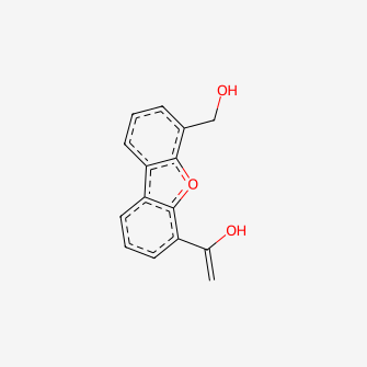 C=C(O)c1cccc2c1oc1c(CO)cccc12